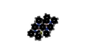 CC1(C)C2=C(c3ccccc31)N(c1ccccc1)c1cccc3c1B2c1cc2c(cc1N3c1ccccc1)B1c3c(cccc3N(c3ccccc3)C3c4ccccc4SC13)N2c1ccccc1